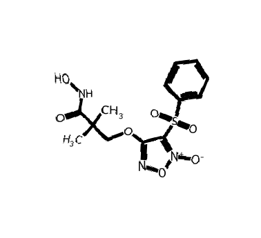 CC(C)(COc1no[n+]([O-])c1S(=O)(=O)c1ccccc1)C(=O)NO